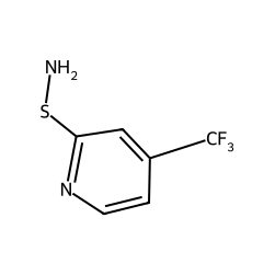 NSc1cc(C(F)(F)F)ccn1